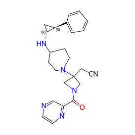 N#CCC1(N2CCC(N[C@@H]3C[C@H]3c3ccccc3)CC2)CN(C(=O)c2cnccn2)C1